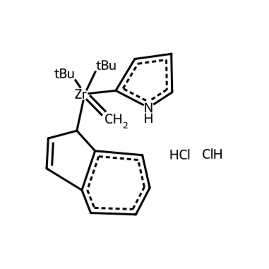 Cl.Cl.[CH2]=[Zr]([c]1ccc[nH]1)([CH]1C=Cc2ccccc21)([C](C)(C)C)[C](C)(C)C